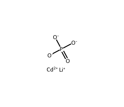 O=P([O-])([O-])[O-].[Cd+2].[Li+]